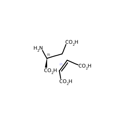 N[C@@H](CC(=O)O)C(=O)O.O=C(O)/C=C\C(=O)O